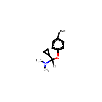 CCC(Oc1ccc(OC)cc1)(C1CC1)N(C)C